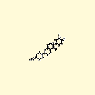 CCCC1CCC(C2CCc3c(ccc(-c4ccc(F)c(F)c4)c3F)C2)CC1